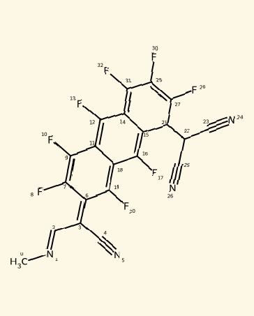 C/N=C/C(C#N)=c1\c(F)c(F)c2c(F)c3c(c(F)c2c1F)C(C(C#N)C#N)C(F)=C(F)C=3F